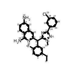 CCc1ccc(F)c(C(c2cc3cc(N)ccc3c(N)n2)c2nc(-c3cccc(Cl)c3)nn2C)c1